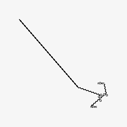 CC#CC#CC#CC#CC#CC#CC#CC#CC#CC#CC#CC#CC#CC#CC#CC#CC#CC#CC#CC#CC#CC#CC#CC#CC#CC#CC#CC#CCCCCCCCCCCCCCCCCC(=O)OC(COC(=O)CCCCCCCCCCCCCCCCC)COC(=O)CCCCCCCCCCCCCCCCC